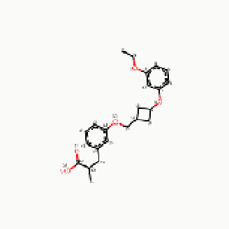 CCOc1cccc(OC2CC(COc3cccc(CC(C)C(=O)O)c3)C2)c1